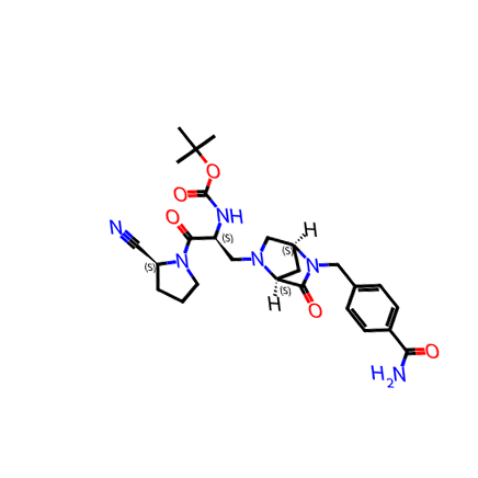 CC(C)(C)OC(=O)N[C@@H](CN1C[C@@H]2C[C@H]1C(=O)N2Cc1ccc(C(N)=O)cc1)C(=O)N1CCC[C@H]1C#N